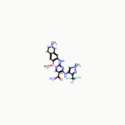 COc1cc2c(cc1Nc1ncc(C(N)=O)c(Nc3cn(C)nc3C(F)(F)F)n1)CN(C)CC2